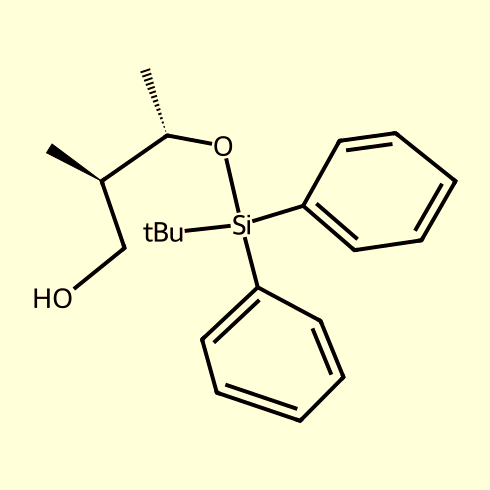 C[C@H](CO)[C@H](C)O[Si](c1ccccc1)(c1ccccc1)C(C)(C)C